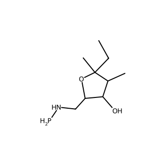 CCC1(C)OC(CNP)C(O)C1C